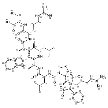 CC(C)C[C@H](NC(=O)[C@H](C)NC(=O)[C@H](CC(C)C)NC(=O)[C@@H]1CCCN1C(=O)[C@](CCCNC(=N)N)(N(c1ccccc1)[N+](=O)[O-])[N+](=O)[O-])C(=O)N[C@@H](Cc1c[nH]c2ccccc12)C(=O)N[C@@H](CCCNC(=N)N)C(=O)N[C@@H](CO)C(=O)O